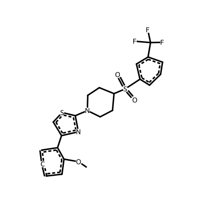 COc1ccccc1-c1csc(N2CCC(S(=O)(=O)c3cccc(C(F)(F)F)c3)CC2)n1